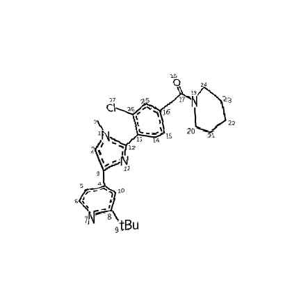 Cn1cc(-c2ccnc(C(C)(C)C)c2)nc1-c1ccc(C(=O)N2CCCCC2)cc1Cl